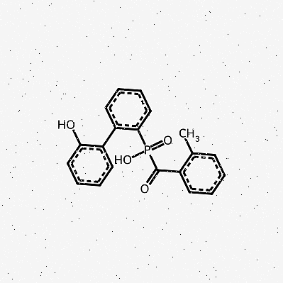 Cc1ccccc1C(=O)P(=O)(O)c1ccccc1-c1ccccc1O